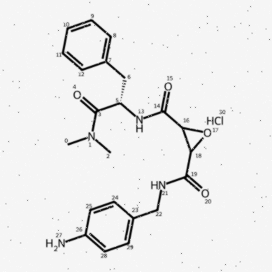 CN(C)C(=O)[C@H](Cc1ccccc1)NC(=O)C1OC1C(=O)NCc1ccc(N)cc1.Cl